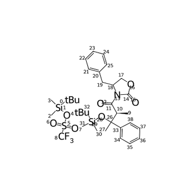 CC(C)(C)[Si](C)(C)OS(=O)(=O)C(F)(F)F.C[C@H](C(=O)N1C(=O)OCC1Cc1ccccc1)C(C)(O[Si](C)(C)C(C)(C)C)c1ccccc1